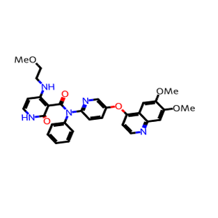 COCCNc1cc[nH]c(=O)c1C(=O)N(c1ccccc1)c1ccc(Oc2ccnc3cc(OC)c(OC)cc23)cn1